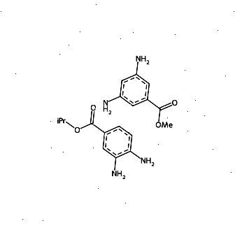 CC(C)OC(=O)c1ccc(N)c(N)c1.COC(=O)c1cc(N)cc(N)c1